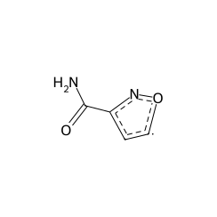 NC(=O)c1c[c]on1